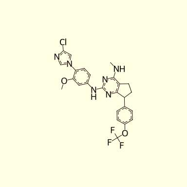 CNc1nc(Nc2ccc(-n3cnc(Cl)c3)c(OC)c2)nc2c1CCC2c1ccc(OC(F)(F)F)cc1